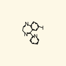 Ic1ccc2c(c1)C(c1ccccn1)=NCC=N2